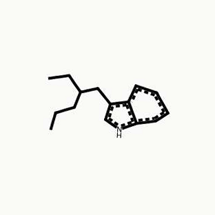 CCCC(CC)Cc1c[nH]c2ccccc12